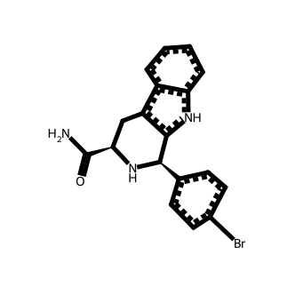 NC(=O)[C@H]1Cc2c([nH]c3ccccc23)[C@@H](c2ccc(Br)cc2)N1